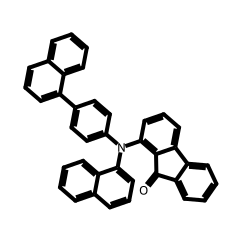 O=C1c2ccccc2-c2cccc(N(c3ccc(-c4cccc5ccccc45)cc3)c3cccc4ccccc34)c21